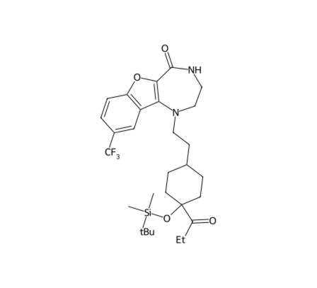 CCC(=O)C1(O[Si](C)(C)C(C)(C)C)CCC(CCN2CCNC(=O)c3oc4ccc(C(F)(F)F)cc4c32)CC1